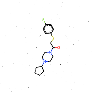 O=C(CSc1ccc(F)cc1)N1CCN(C2CCCC2)CC1